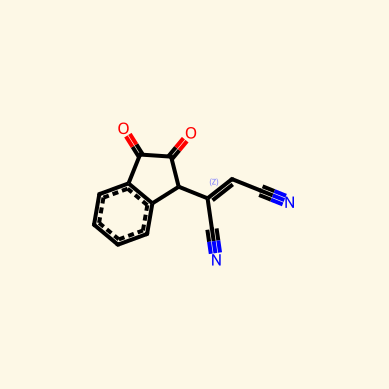 N#C/C=C(\C#N)C1C(=O)C(=O)c2ccccc21